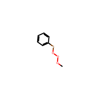 COOOSc1ccccc1